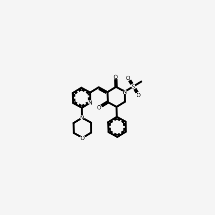 CS(=O)(=O)N1CC(c2ccccc2)C(=O)/C(=C\c2cccc(N3CCOCC3)n2)C1=O